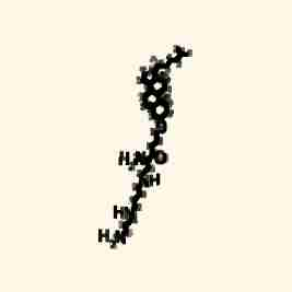 CC(C)CCC[C@@H](C)[C@H]1CCC2C3CC=C4C[C@@H](OCCCC(=O)C(N)CCNCCCCNCCCN)CC[C@]4(C)C3CC[C@@]21C